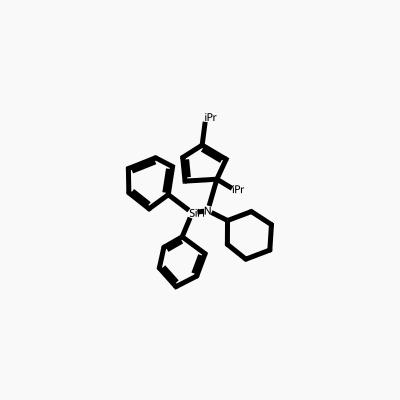 CC(C)C1=CC(C(C)C)(N(C2CCCCC2)[SiH](c2ccccc2)c2ccccc2)C=C1